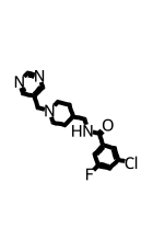 O=C(NCC1CCN(Cc2cncnc2)CC1)c1cc(F)cc(Cl)c1